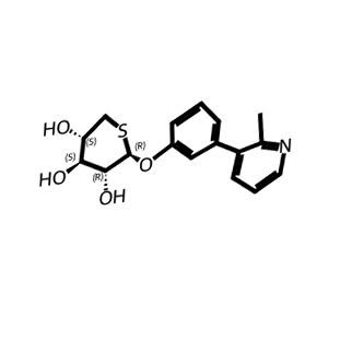 Cc1ncccc1-c1cccc(O[C@@H]2SC[C@@H](O)[C@H](O)[C@H]2O)c1